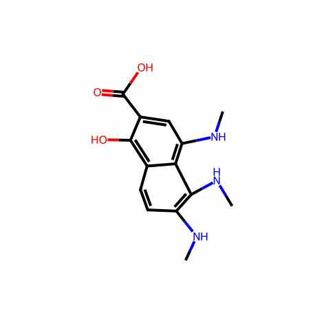 CNc1ccc2c(O)c(C(=O)O)cc(NC)c2c1NC